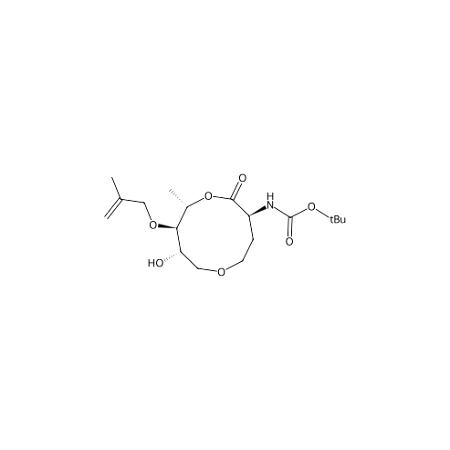 C=C(C)CO[C@H]1[C@H](C)OC(=O)[C@@H](NC(=O)OC(C)(C)C)CCOC[C@@H]1O